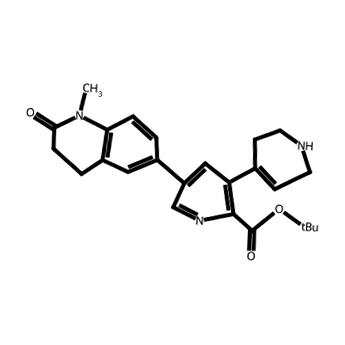 CN1C(=O)CCc2cc(-c3cnc(C(=O)OC(C)(C)C)c(C4=CCNCC4)c3)ccc21